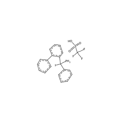 O=S(=O)(O)C(F)(F)F.PC(I)(c1ccccc1)c1ccccc1-c1ccccc1